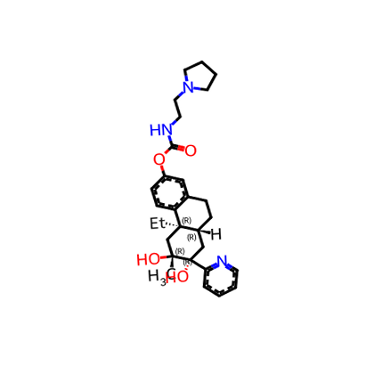 CC[C@@]12C[C@@](C)(O)[C@](O)(c3ccccn3)C[C@H]1CCc1cc(OC(=O)NCCN3CCCC3)ccc12